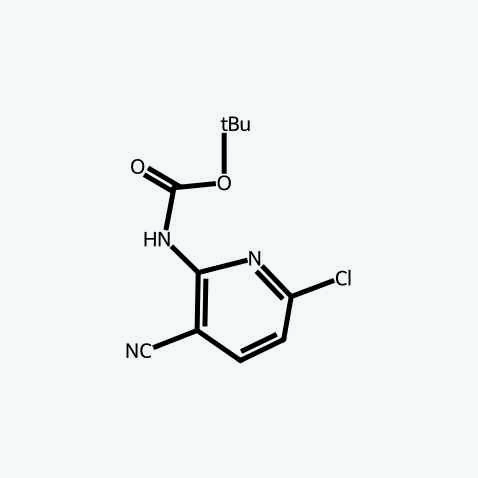 CC(C)(C)OC(=O)Nc1nc(Cl)ccc1C#N